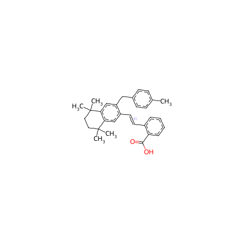 Cc1ccc(Cc2cc3c(cc2/C=C/c2ccccc2C(=O)O)C(C)(C)CCC3(C)C)cc1